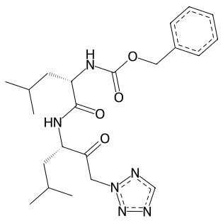 CC(C)C[C@H](NC(=O)[C@H](CC(C)C)NC(=O)OCc1ccccc1)C(=O)Cn1ncnn1